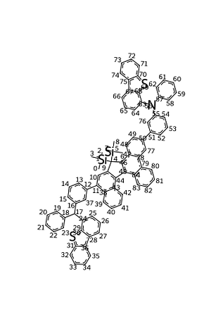 C[Si](C)(C)C1([Si](C)(C)C)c2cc(-c3cccc(C(c4ccccc4)c4cccc5c4sc4ccccc45)c3)c3ccccc3c2-c2c1c1ccc(-c3cccc(N(c4ccccc4)c4cccc5c4sc4ccccc45)c3)cc1c1ccccc21